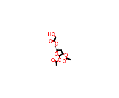 CC(=O)OC1C[C@@H](COC(=O)CO)OC1OC(C)=O